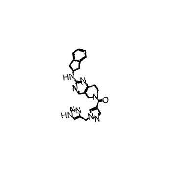 O=C(c1cnn(Cc2c[nH]nn2)c1)N1CCc2nc(NC3Cc4ccccc4C3)ncc2C1